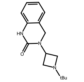 CC(C)(C)N1CC(N2Cc3ccccc3NC2=O)C1